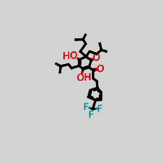 CC(C)CCC1=C(O)C(CCC(C)C)(CCC(C)C)C(=O)C(C(=O)CCc2ccc(C(F)(F)F)cc2)=C1O